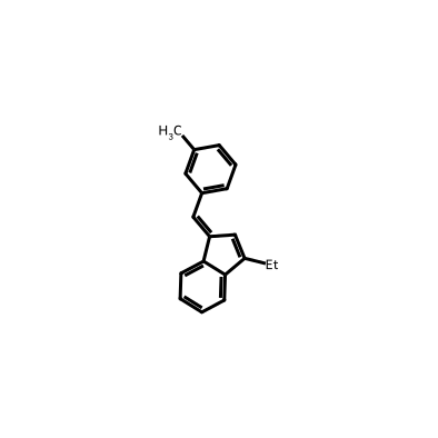 [CH2]CC1=CC(=Cc2cccc(C)c2)c2ccccc21